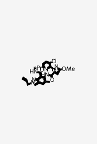 C#CCn1cc2cc(C)c(NC(=O)c3cc(OC)nn3-c3ncccc3Cl)c(C(=O)NCCC)c2n1